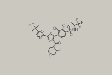 CC1COCCN1C(=O)c1nc(-c2nnc(C(C)(C)O)o2)sc1-c1ccc(S(=O)(=O)NC(C)C(F)(F)F)c(Cl)c1Cl